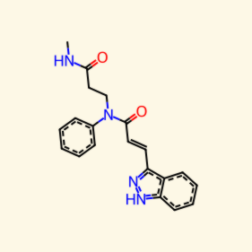 CNC(=O)CCN(C(=O)/C=C/c1n[nH]c2ccccc12)c1ccccc1